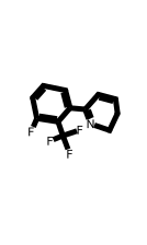 Fc1cccc(C2=NCCC=C2)c1C(F)(F)F